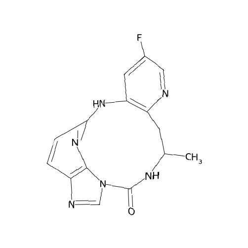 CC1Cc2ncc(F)cc2Nc2ccc3ncn(c3n2)C(=O)N1